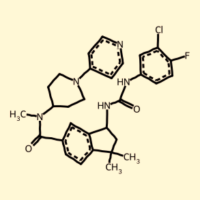 CN(C(=O)c1ccc2c(c1)C(NC(=O)Nc1ccc(F)c(Cl)c1)CC2(C)C)C1CCN(c2ccncc2)CC1